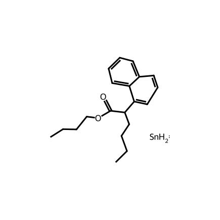 CCCCOC(=O)C(CCCC)c1cccc2ccccc12.[SnH2]